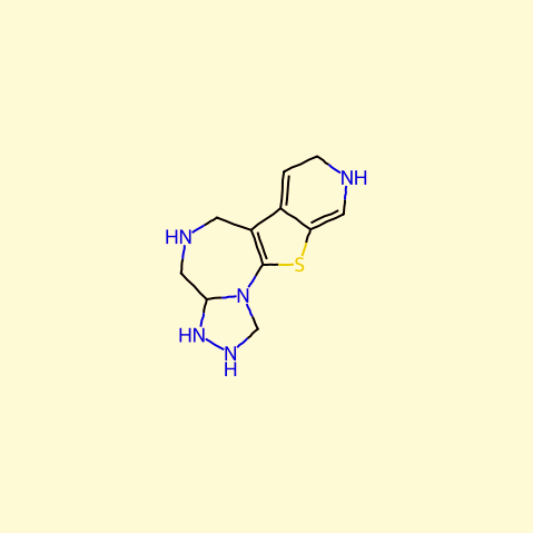 C1=c2sc3c(c2=CCN1)CNCC1NNCN31